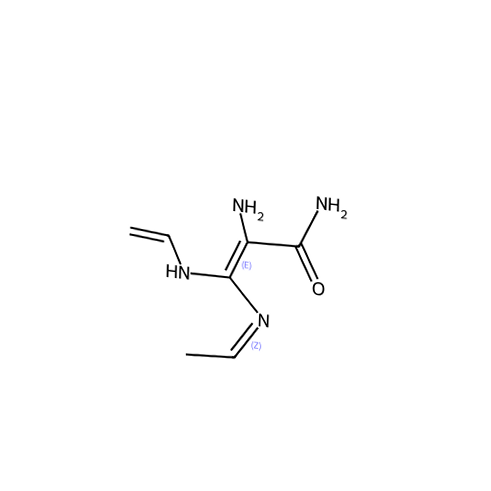 C=CNC(/N=C\C)=C(\N)C(N)=O